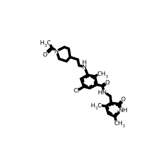 CC(=O)N1CCC(CCNc2cc(Cl)cc(C(=O)NCc3c(C)cc(C)[nH]c3=O)c2C)CC1